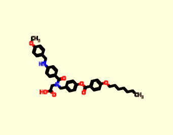 CCCCCCCOc1ccc(C(=O)Oc2ccc(CN(CC(=O)O)C(=O)c3ccc(NCc4ccc(OC)cc4)cc3)cc2)cc1